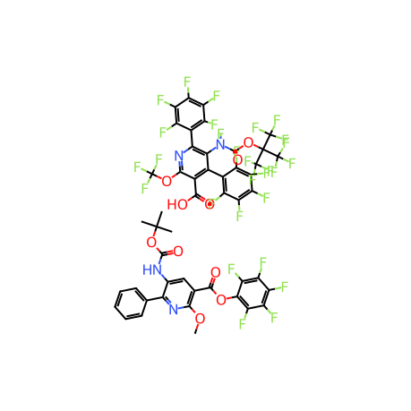 COc1nc(-c2ccccc2)c(NC(=O)OC(C)(C)C)cc1C(=O)Oc1c(F)c(F)c(F)c(F)c1F.O=C(O)c1c(OC(F)(F)F)nc(-c2c(F)c(F)c(F)c(F)c2F)c(N(F)C(=O)OC(C(F)(F)F)(C(F)(F)F)C(F)(F)F)c1-c1c(F)c(F)c(F)c(F)c1F